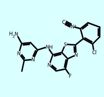 [C-]#[N+]c1cccc(Cl)c1-c1nc2c(F)cnc(Nc3cc(N)nc(C)n3)c2s1